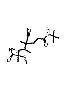 CSC(C)(CC(C)C(C)(C#N)CCC(=O)NC(C)(C)C)C(N)=O